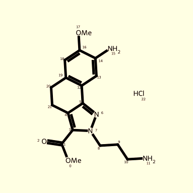 COC(=O)c1c2c(nn1CCCN)-c1cc(N)c(OC)cc1CC2.Cl